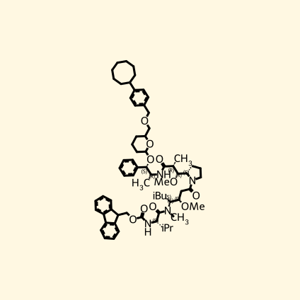 CC[C@H](C)[C@@H]([C@@H](CC(=O)N1CCC[C@H]1[C@H](OC)[C@@H](C)C(=O)N[C@H](C)[C@@H](OC1CCCC(COCc2ccc(C3CCCCCCC3)cc2)O1)c1ccccc1)OC)N(C)C(=O)[C@@H](NC(=O)OCC1c2ccccc2-c2ccccc21)C(C)C